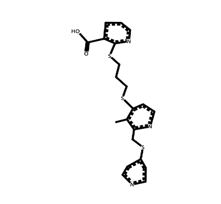 Cc1c(SCCCSc2ncccc2C(=O)O)ccnc1CSc1ccncc1